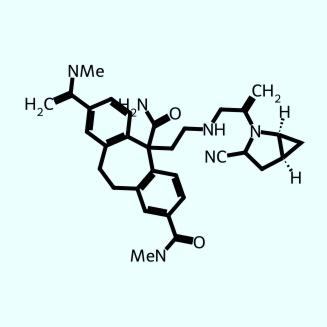 C=C(NC)c1ccc2c(c1)CCc1cc(C(=O)NC)ccc1C2(CCNCC(=C)N1C(C#N)C[C@@H]2C[C@@H]21)C(N)=O